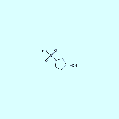 O=S(=O)(O)N1CC[C@H](O)C1